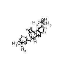 CC1(C)CCCC(CC(=O)Nc2nc3ccc(C(C)(C)O)cc3n2C2=CC=C2)O1